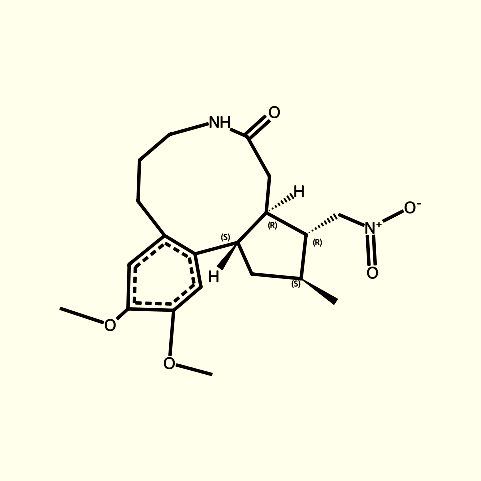 COc1cc2c(cc1OC)[C@H]1C[C@H](C)[C@@H](C[N+](=O)[O-])[C@@H]1CC(=O)NCCC2